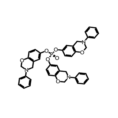 O=P(Oc1ccc2c(c1)CN(c1ccccc1)CO2)(Oc1ccc2c(c1)CN(c1ccccc1)CO2)Oc1ccc2c(c1)CN(c1ccccc1)CO2